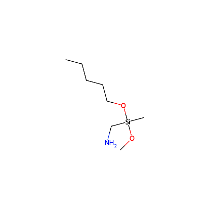 CCCCCO[Si](C)(CN)OC